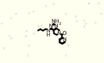 CCCCNc1nc(N)nc2c1CCN(C(=O)c1ccccn1)C2